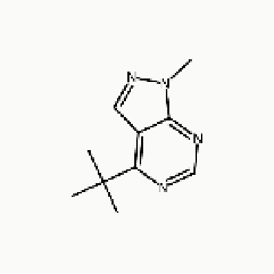 Cn1ncc2c(C(C)(C)C)ncnc21